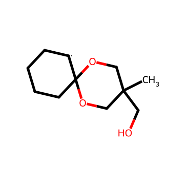 CC1(CO)COC2([CH]CCCC2)OC1